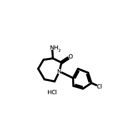 Cl.NC1CCCCN(c2ccc(Cl)cc2)C1=O